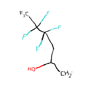 [CH2]C(O)CC(F)(F)C(F)(F)C(F)(F)F